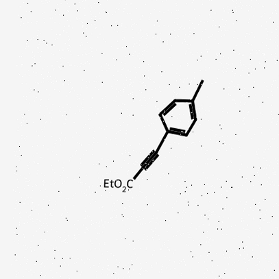 CCOC(=O)C#Cc1ccc(C)cc1